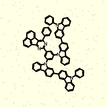 c1ccc(-c2nc(-c3cc(-n4c5ccccc5c5ccc(-c6ccc7c(c6)c6ccccc6n7-c6ccccc6)cc54)cc(-n4c5ccccc5c5ccc(-c6ccc7c(c6)c6ccccc6n7-c6ccccc6)cc54)c3)nc3c2-c2cccc4cccc-3c24)cc1